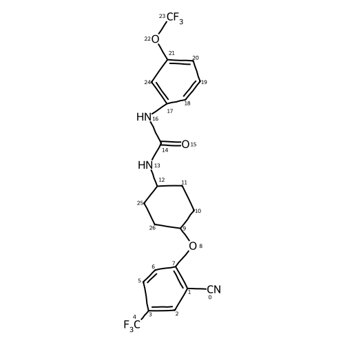 N#Cc1cc(C(F)(F)F)ccc1OC1CCC(NC(=O)Nc2cccc(OC(F)(F)F)c2)CC1